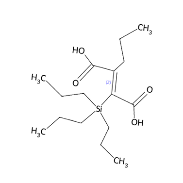 CCC/C(C(=O)O)=C(\C(=O)O)[Si](CCC)(CCC)CCC